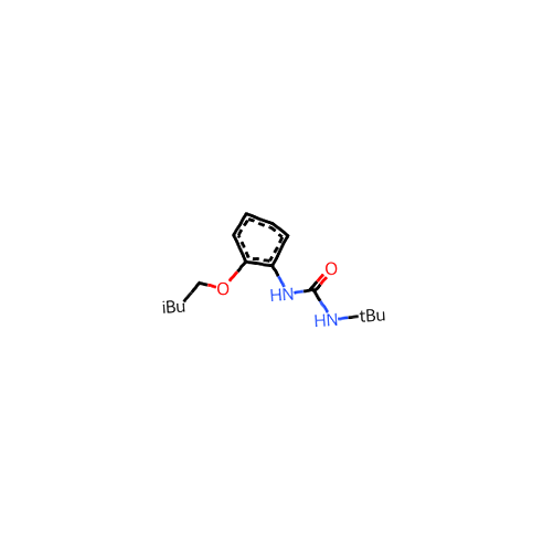 CCC(C)COc1ccccc1NC(=O)NC(C)(C)C